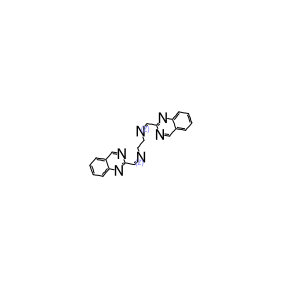 C(=N/CC/N=C\c1ncc2ccccc2n1)/c1ncc2ccccc2n1